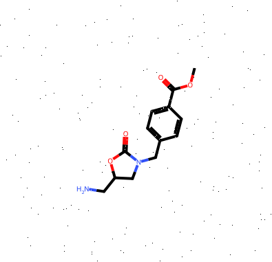 COC(=O)c1ccc(CN2CC(CN)OC2=O)cc1